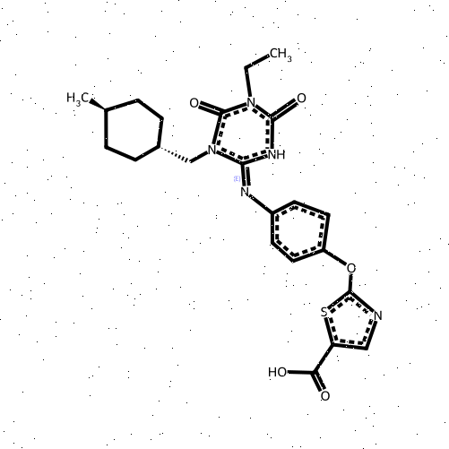 CCn1c(=O)[nH]/c(=N\c2ccc(Oc3ncc(C(=O)O)s3)cc2)n(C[C@H]2CC[C@H](C)CC2)c1=O